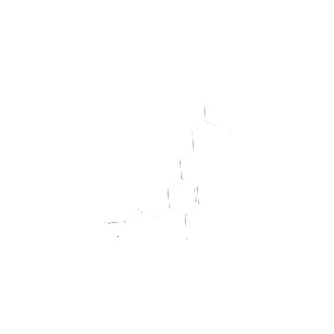 CN(C)CCCc1ccc(Cl)c(CNC2CC2)c1